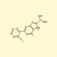 OC(O)c1cc2cc(-c3ccccc3F)cnc2[nH]1